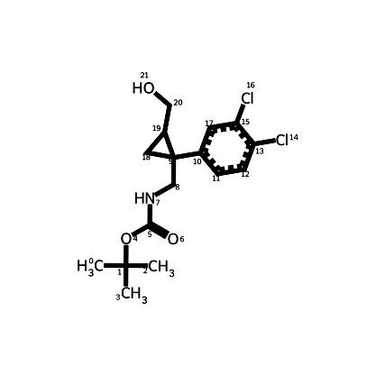 CC(C)(C)OC(=O)NCC1(c2ccc(Cl)c(Cl)c2)CC1CO